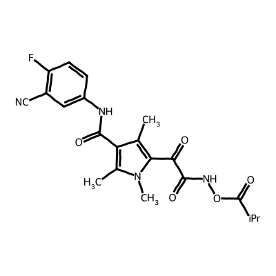 Cc1c(C(=O)Nc2ccc(F)c(C#N)c2)c(C)n(C)c1C(=O)C(=O)NOC(=O)C(C)C